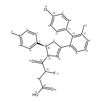 Cc1ccc([C@H]2CC(c3cccc(C)c3-c3ccc(Cl)cc3)=NN2C(=O)C(F)CC(=O)O)cc1